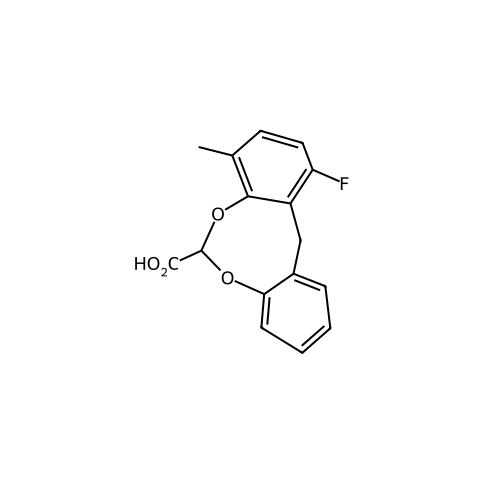 Cc1ccc(F)c2c1OC(C(=O)O)Oc1ccccc1C2